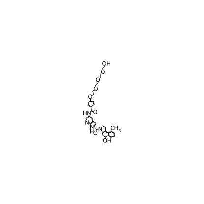 Cc1cccc2c(O)cc3c(c12)CCN3C(=O)c1cc2cc(NC(=O)c3ccc(OCCOCCOCCOCCO)cc3)cnc2[nH]1